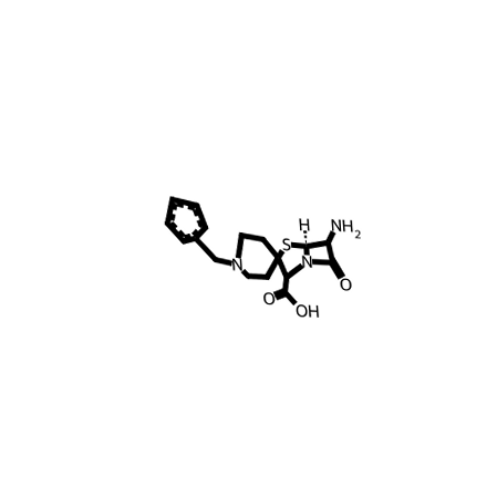 NC1C(=O)N2C(C(=O)O)C3(CCN(Cc4ccccc4)CC3)S[C@@H]12